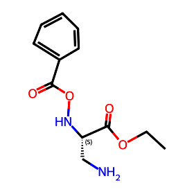 CCOC(=O)[C@H](CN)NOC(=O)c1ccccc1